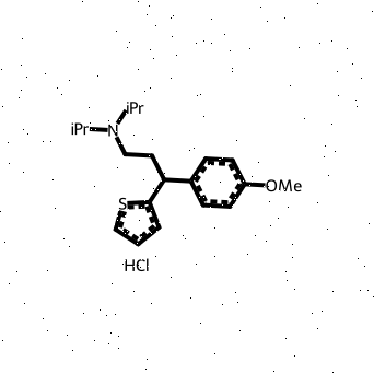 COc1ccc(C(CCN(C(C)C)C(C)C)c2cccs2)cc1.Cl